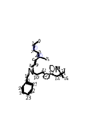 C/C=C\C=C(\C)CCCN(CCOCCC(C)(I)N=O)Cc1ccccc1